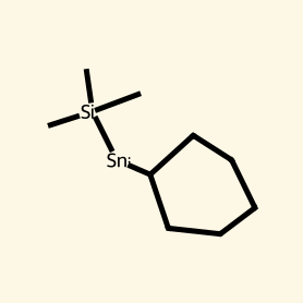 C[Si](C)(C)[Sn][CH]1CCCCC1